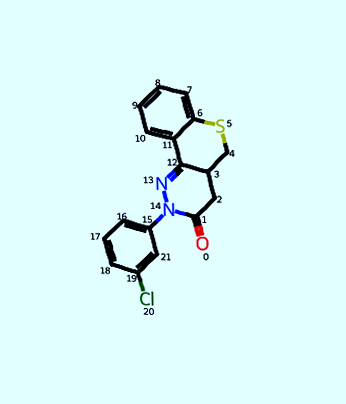 O=C1CC2CSc3ccccc3C2=NN1c1cccc(Cl)c1